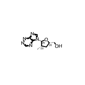 C[C@H]1C[C@@H](CO)O[C@H]1n1cnc2nncnc21